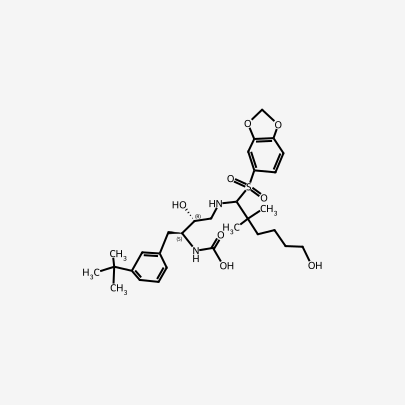 CC(C)(C)c1cccc(C[C@H](NC(=O)O)[C@H](O)CNC(C(C)(C)CCCCO)S(=O)(=O)c2ccc3c(c2)OCO3)c1